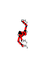 CCCCCCCC/C=C\CCCCCCCC(=O)Oc1ccccc1-c1ccc(-c2ccccc2OC(=O)CCCCCCC/C=C\CCCCCCCC)c2nn(CCCCCCCC)nc12